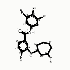 O=C(Nc1cc(F)c(F)c(F)c1)c1ccc(F)c(SC2CCCCC(F)C2)c1